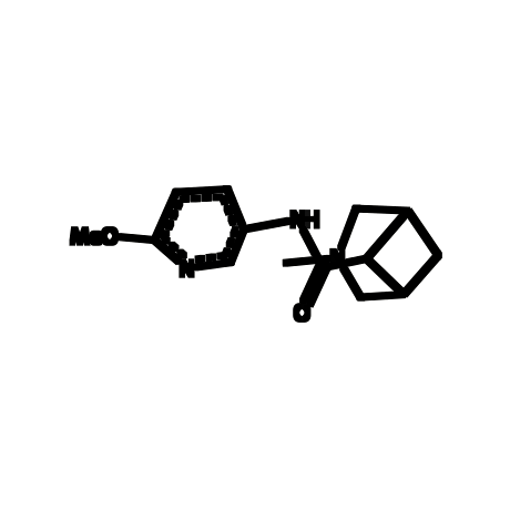 COc1ccc(NC(=O)C2C3CC2CN(C)C3)cn1